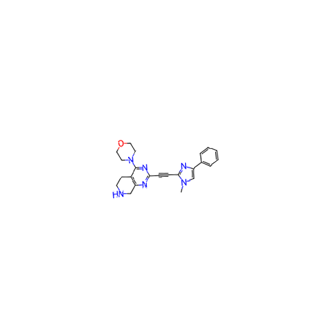 Cn1cc(-c2ccccc2)nc1C#Cc1nc2c(c(N3CCOCC3)n1)CCNC2